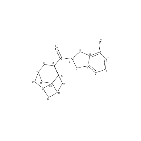 O=C(N1Cc2cccc(F)c2C1)C12CC3CC4CC(C1)C4(C3)C2